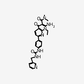 CCn1c(N)c(C(=O)N(C)C)c(=O)c2ccc(-c3ccc(NC(=O)NCc4cccnc4)cc3)nc21